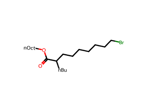 CCCCCCCCOC(=O)C(CCCC)CCCCCCCBr